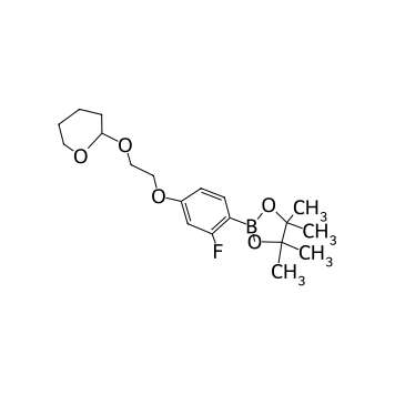 CC1(C)OB(c2ccc(OCCOC3CCCCO3)cc2F)OC1(C)C